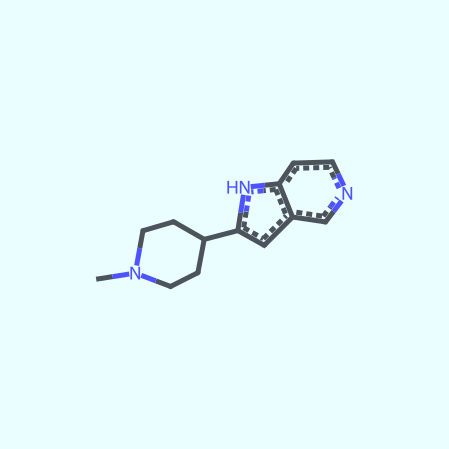 CN1CCC(c2cc3cnccc3[nH]2)CC1